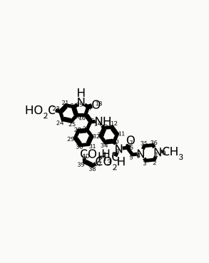 CN1CCN(CC(=O)N(C)c2ccc(N/C(=C3\C(=O)Nc4cc(C(=O)O)ccc43)c3ccccc3)cc2)CC1.O=C(O)/C=C\C(=O)O